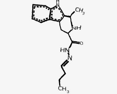 CCC/C=N/NC(=O)C1Cc2c([nH]c3ccccc23)C(C)N1